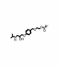 CC(C)NCC(O)COc1ccc(COCCO[N+](=O)[O-])cc1